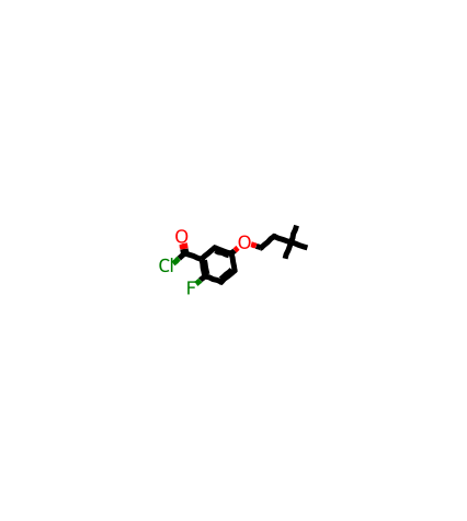 CC(C)(C)CCOc1ccc(F)c(C(=O)Cl)c1